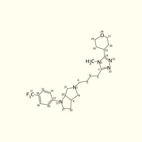 Cn1c(CCCCN2CC3CCN(c4ccc(C(F)(F)F)cc4)C3C2)nnc1C1CCOCC1